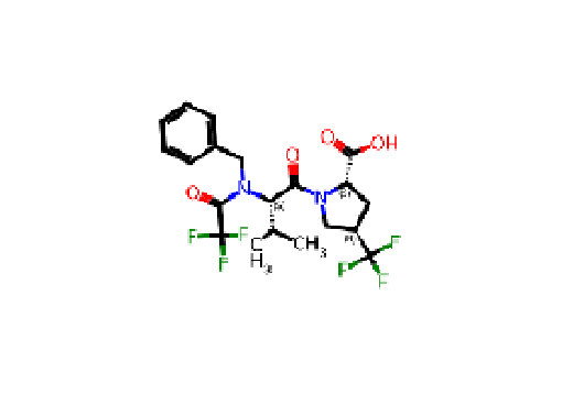 CC(C)[C@@H](C(=O)N1C[C@H](C(F)(F)F)C[C@H]1C(=O)O)N(Cc1ccccc1)C(=O)C(F)(F)F